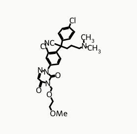 COCCOCn1c(=O)cnn(-c2ccc(C(C#N)(CCCN(C)C)c3ccc(Cl)cc3)c(Cl)c2)c1=O